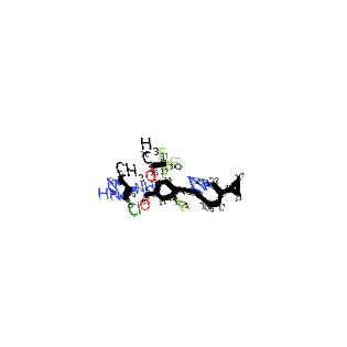 Cc1n[nH]c(Cl)c1NC(=O)c1cc(F)c(-c2ccc(C3CC3)cn2)cc1OC(C)C(F)(F)F